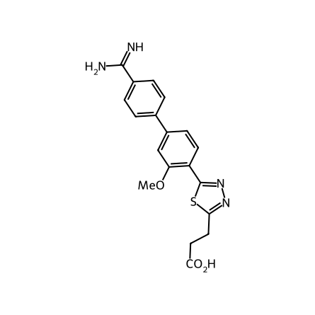 COc1cc(-c2ccc(C(=N)N)cc2)ccc1-c1nnc(CCC(=O)O)s1